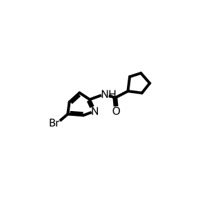 O=C(Nc1ccc(Br)cn1)C1CCCC1